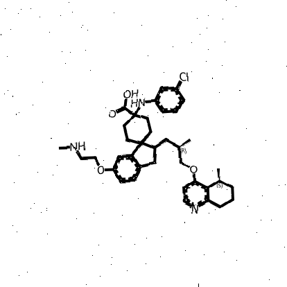 CNCCOc1ccc2c(c1)C1(CCC(Nc3cccc(Cl)c3)(C(=O)O)CC1)C(C[C@@H](C)COc1ccnc3c1[C@@H](C)CCC3)C2